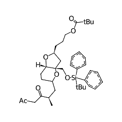 CC(=O)CC(=O)[C@H](C)CC1CC[C@@H]2O[C@@H](CCCOC(=O)C(C)(C)C)C[C@]2(CO[Si](c2ccccc2)(c2ccccc2)C(C)(C)C)O1